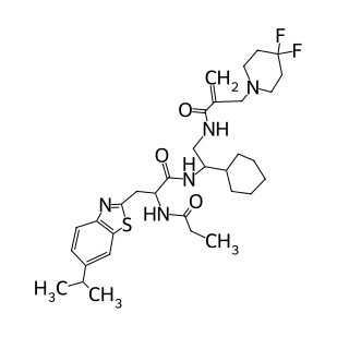 C=C(CN1CCC(F)(F)CC1)C(=O)NCC(NC(=O)C(Cc1nc2ccc(C(C)C)cc2s1)NC(=O)CC)C1CCCCC1